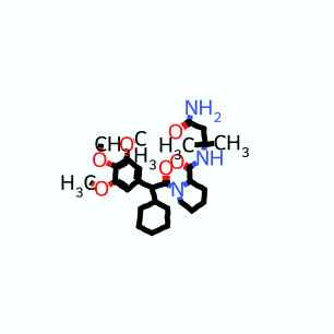 COc1cc(C(C(=O)N2CCCCC2C(=O)NC(C)(C)CC(N)=O)C2CCCCC2)cc(OC)c1OC